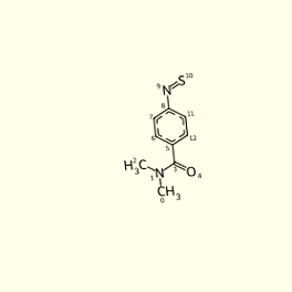 CN(C)C(=O)c1ccc(N=S)cc1